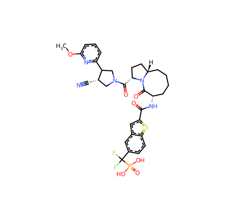 COc1cccc(C2CN(C(=O)[C@@H]3CC[C@@H]4CCCC[C@H](NC(=O)c5cc6cc(C(F)(F)P(=O)(O)O)ccc6s5)C(=O)N43)C[C@@H]2C#N)n1